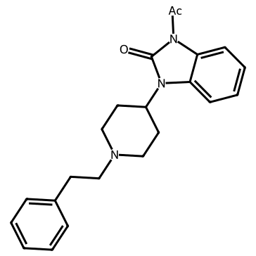 CC(=O)n1c(=O)n(C2CCN(CCc3ccccc3)CC2)c2ccccc21